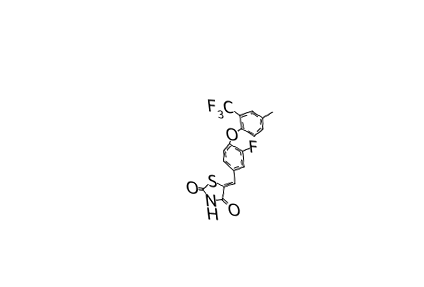 Cc1ccc(Oc2ccc(/C=C3\SC(=O)NC3=O)cc2F)c(C(F)(F)F)c1